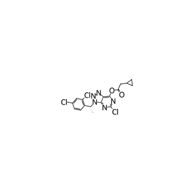 C[C@H](c1ccc(Cl)cc1Cl)n1nnc2c(OC(=O)CC3CC3)nc(Cl)nc21